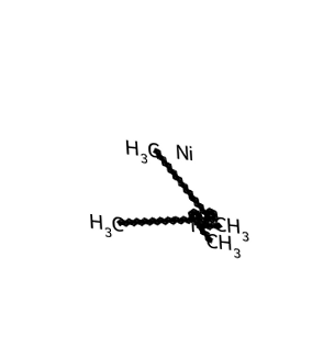 CCCCCCCCCCCCCCC=CCCCc1ccccc1N=C(CCCC)C(CCCC)=Nc1ccccc1CCCC=CCCCCCCCCCCCCCC.[Ni]